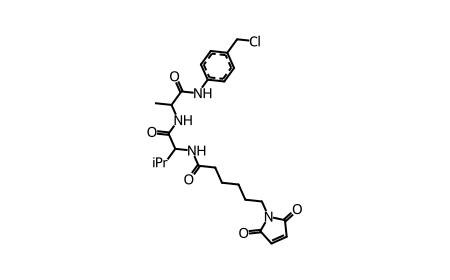 CC(NC(=O)C(NC(=O)CCCCCN1C(=O)C=CC1=O)C(C)C)C(=O)Nc1ccc(CCl)cc1